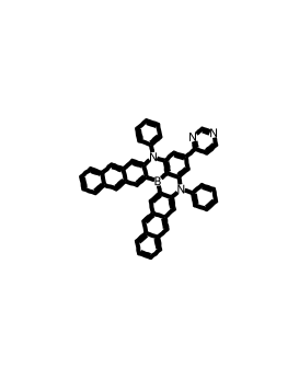 c1ccc(N2c3cc4cc5ccccc5cc4cc3B3c4cc5cc6ccccc6cc5cc4N(c4ccccc4)c4cc(-c5ccncn5)cc2c43)cc1